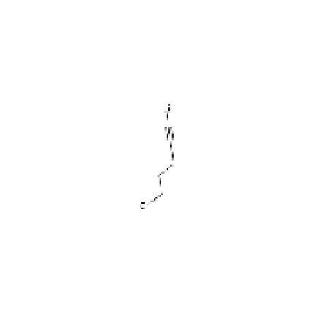 [Li][C]#CCCCCl